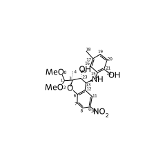 COC(OC)[C@]1(C)Oc2ccc([N+](=O)[O-])cc2[C@H](Nc2cc(C)ccc2O)[C@H]1O